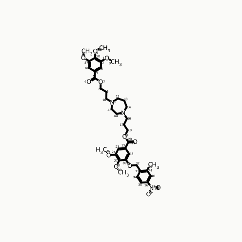 COc1cc(C(=O)OCCCN2CCCN(CCCOC(=O)c3cc(OC)c(OC)c(OCc4ccc([N+](=O)[O-])cc4C)c3)CC2)cc(OC)c1OC